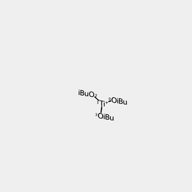 CC(C)C[O][Ti+]([O]CC(C)C)[O]CC(C)C